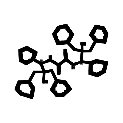 O=C(N[C@H](c1ccccc1)C(O)(Cc1ccccc1)Cc1ccccc1)C(=O)N[C@H](c1ccccc1)C(O)(Cc1ccccc1)Cc1ccccc1